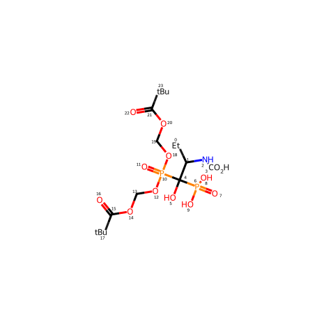 CCC(NC(=O)O)C(O)(P(=O)(O)O)P(=O)(OCOC(=O)C(C)(C)C)OCOC(=O)C(C)(C)C